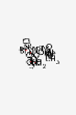 COc1cc(C(=O)N2CC3CCC2[C@]3(N)S(=O)(=O)c2ccc(Br)cc2)cc2nc(-c3cc4ccccc4n3CC3CC3)n(CC3CN(C(=O)c4nnn(C)n4)C3)c12